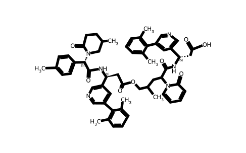 Cc1ccc([C@@H](C(=O)N[C@@H](CC(=O)OCC(C)CC(C(=O)N[C@@H](CC(=O)O)c2cncc(-c3c(C)cccc3C)c2)n2ccccc2=O)c2cncc(-c3c(C)cccc3C)c2)N2CC(C)CCC2=O)cc1